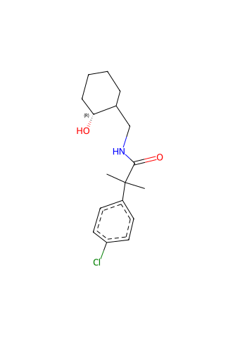 CC(C)(C(=O)NCC1CCCC[C@H]1O)c1ccc(Cl)cc1